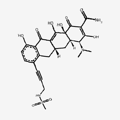 CN(C)[C@@H]1C(O)=C(C(N)=O)C(=O)[C@@]2(O)C(O)=C3C(=O)c4c(O)ccc(C#CCNS(C)(=O)=O)c4C[C@H]3C[C@@H]12